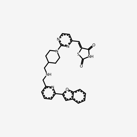 O=C1NC(=O)C(=Cc2ccnc(N3CCC(CNCc4cccc(-c5cc6ccccc6o5)n4)CC3)n2)S1